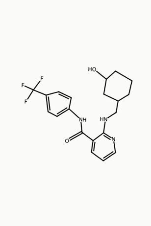 O=C(Nc1ccc(C(F)(F)F)cc1)c1cccnc1NCC1CCCC(O)C1